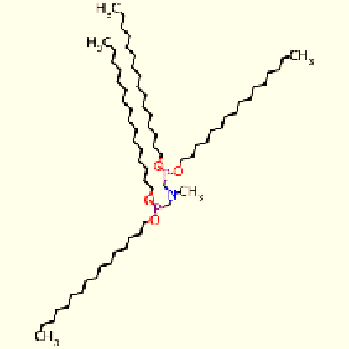 CCCCCCCCCCCCCCCCOP(CN(C)CP(OCCCCCCCCCCCCCCCC)OCCCCCCCCCCCCCCCC)OCCCCCCCCCCCCCCCC